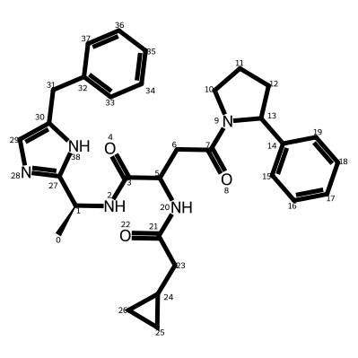 C[C@H](NC(=O)C(CC(=O)N1CCCC1c1ccccc1)NC(=O)CC1CC1)c1ncc(Cc2ccccc2)[nH]1